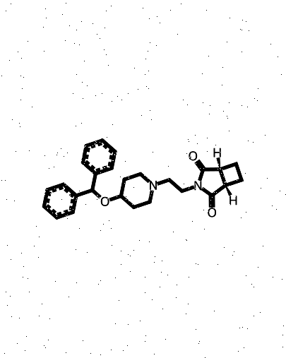 O=C1[C@H]2CC[C@H]2C(=O)N1CCN1CCC(OC(c2ccccc2)c2ccccc2)CC1